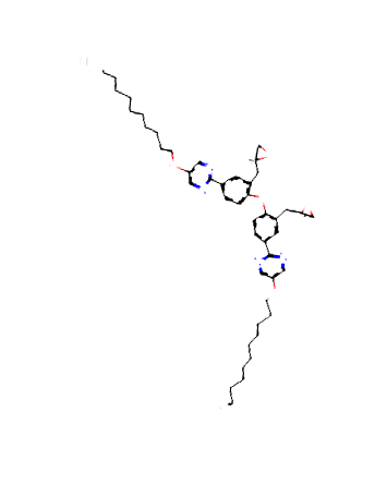 C=CCCCCCCCCCOc1cnc(-c2ccc(Oc3ccc(-c4ncc(OCCCCCCCCCC=C)cn4)cc3C[C@]3(C)CO3)c(C[C@]3(C)CO3)c2)nc1